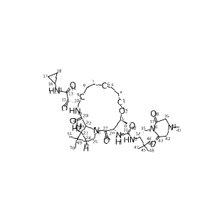 C[C@@H]1OCCCCCCC[C@@H](C(=O)C(=O)NC2CC2)NC(=O)[C@@H]2[C@@H]3[C@H](CN2C(=O)[C@H]1NC(=O)N[C@H](CN1C(=O)CN(C)CC1=O)C(C)(C)C)C3(C)C